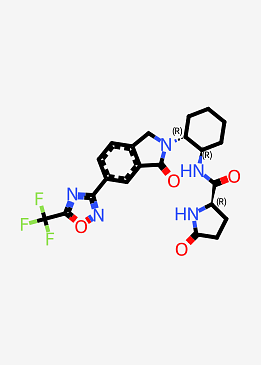 O=C1CC[C@H](C(=O)N[C@@H]2CCCC[C@H]2N2Cc3ccc(-c4noc(C(F)(F)F)n4)cc3C2=O)N1